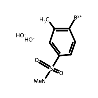 [B+2]c1ccc(S(=O)(=O)NC)cc1C.[OH-].[OH-]